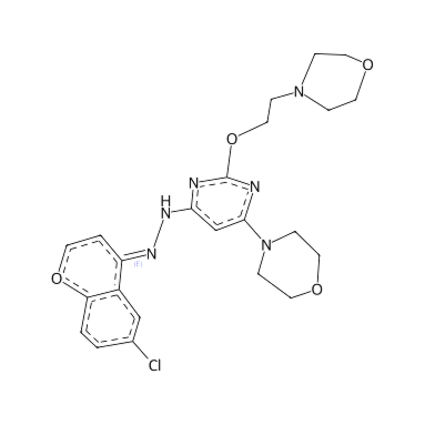 Clc1ccc2occ/c(=N\Nc3cc(N4CCOCC4)nc(OCCN4CCOCC4)n3)c2c1